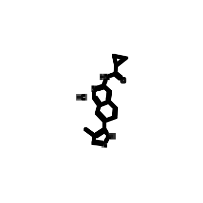 Cc1cn[nH]c1-c1ccc2cc(NC(=O)C3CC3)ncc2c1.Cl